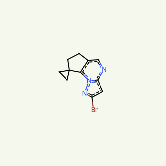 Brc1cc2ncc3c(n2n1)C1(CC3)CC1